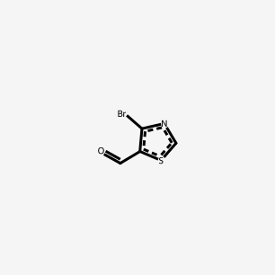 O=Cc1scnc1Br